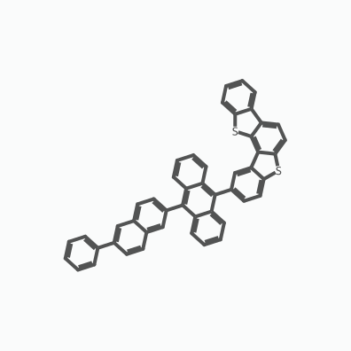 c1ccc(-c2ccc3cc(-c4c5ccccc5c(-c5ccc6sc7ccc8c9ccccc9sc8c7c6c5)c5ccccc45)ccc3c2)cc1